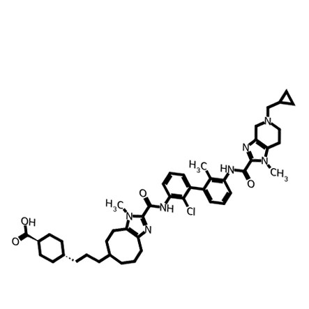 Cc1c(NC(=O)c2nc3c(n2C)CCN(CC2CC2)C3)cccc1-c1cccc(NC(=O)c2nc3c(n2C)CCC(CCC[C@H]2CC[C@H](C(=O)O)CC2)CCC3)c1Cl